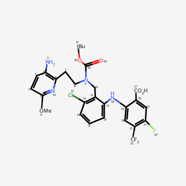 COc1ccc(N)c(CCN(Cc2c(Cl)cccc2Nc2cc(C(F)(F)F)c(F)cc2C(=O)O)C(=O)OC(C)(C)C)n1